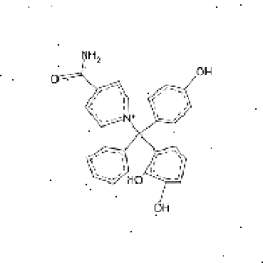 NC(=O)c1cc[n+](C(c2ccccc2)(c2ccc(O)cc2)c2cccc(O)c2O)cc1